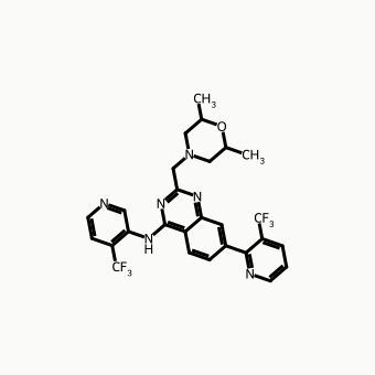 CC1CN(Cc2nc(Nc3cnccc3C(F)(F)F)c3ccc(-c4ncccc4C(F)(F)F)cc3n2)CC(C)O1